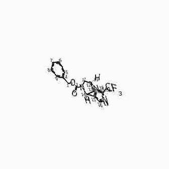 O=C(OCc1ccccc1)N1C[C@@H]2C[C@H]1c1cnc(C(F)(F)F)n12